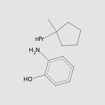 CCCC1(C)CCCC1.Nc1ccccc1O